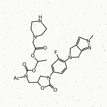 CC(=O)N(CC1CN(c2ccc(N3Cc4cn(C)nc4C3)c(F)c2)C(=O)O1)C(=O)OC(C)OC(=O)CN1CCNCC1